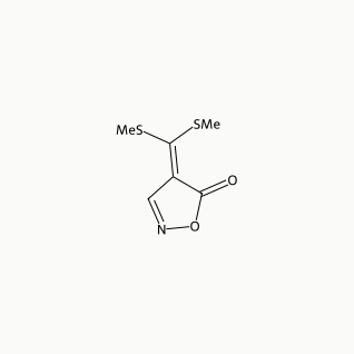 CSC(SC)=C1C=NOC1=O